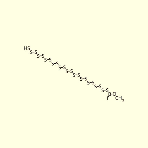 COB(I)SSSSSSSSSSSSSSSSSSSSSSS